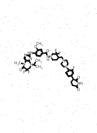 COc1cc(C(=O)NN2CCC(CN3CCN(c4ccc(C5CCC(=O)NC5=O)cc4F)CC3)C(F)(F)C2)ccc1Nc1ncc2c(n1)N(C(C)C)CC(F)(F)C(=O)N2C